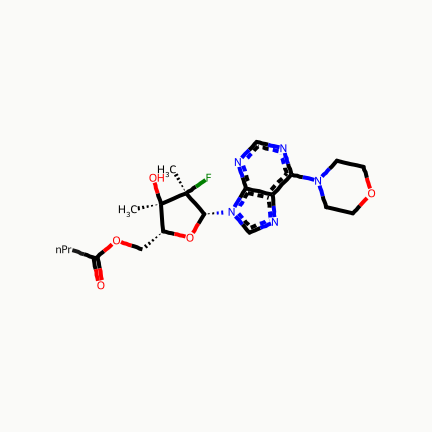 CCCC(=O)OC[C@H]1O[C@@H](n2cnc3c(N4CCOCC4)ncnc32)[C@](C)(F)[C@]1(C)O